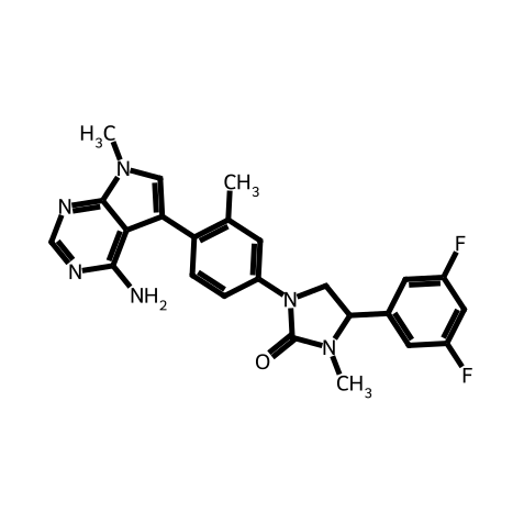 Cc1cc(N2CC(c3cc(F)cc(F)c3)N(C)C2=O)ccc1-c1cn(C)c2ncnc(N)c12